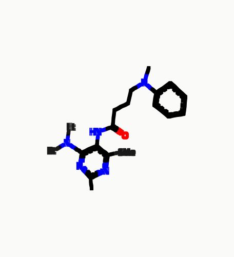 CCN(CC)c1nc(C)nc(SC)c1NC(=O)CCCN(C)c1ccccc1